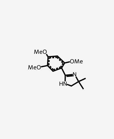 COc1cc(OC)c(C2=NC(C)(C)CN2)cc1OC